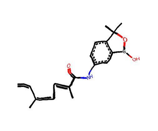 C=C/C(C)=C\C=C(/C)C(=O)Nc1ccc2c(c1)B(O)OC2(C)C